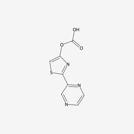 O=C(O)Oc1csc(-c2cnccn2)n1